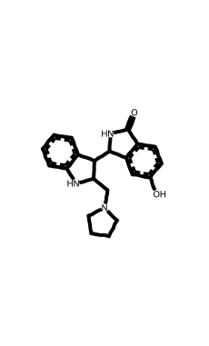 O=C1NC(C2c3ccccc3NC2CN2CCCC2)c2cc(O)ccc21